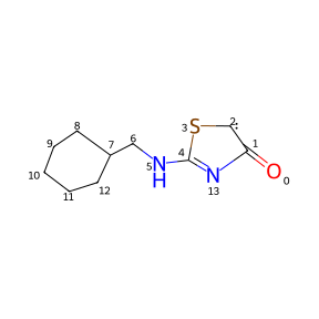 O=C1[C]SC(NCC2CCCCC2)=N1